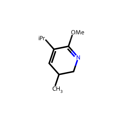 COC1=NCC(C)C=C1C(C)C